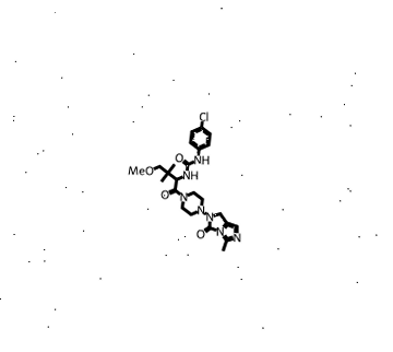 COCC(C)(C)C(NC(=O)Nc1ccc(Cl)cc1)C(=O)N1CCN(N2Cc3cnc(C)n3C2=O)CC1